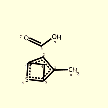 Cc1cc2sc1C2.O=CO